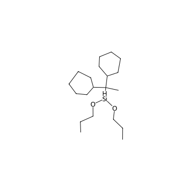 CCCO[SiH](OCCC)C(C)(C1CCCCC1)C1CCCCC1